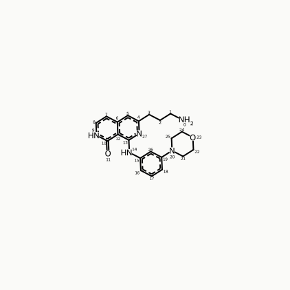 NCCCc1cc2cc[nH]c(=O)c2c(Nc2cccc(N3CCOCC3)c2)n1